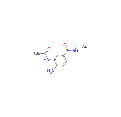 CC(=O)CNC(=O)c1ccc(N)c(NC(=O)C(C)(C)C)c1